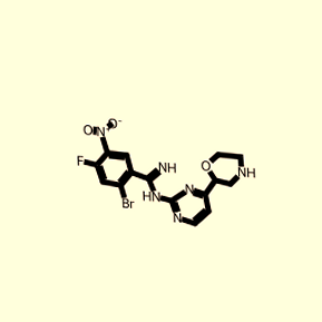 N=C(Nc1nccc(C2CNCCO2)n1)c1cc([N+](=O)[O-])c(F)cc1Br